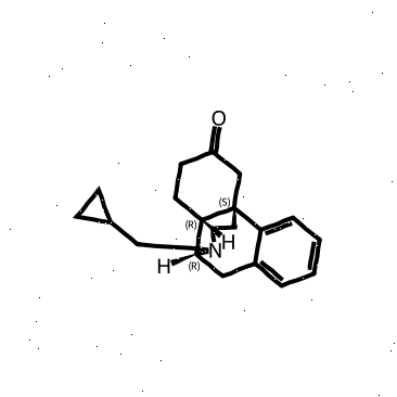 O=C1CC[C@H]2[C@H]3Cc4ccccc4[C@@]2(CCN3CC2CC2)C1